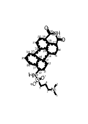 CN(C)CCCS(=O)(=O)Nc1ccc2c3ccc4c5c(ccc(c6cccc1c62)c53)C(=O)NC4=O